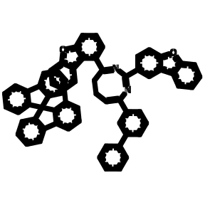 C1=C(c2cccc(-c3ccccc3)c2)/N=C(c2ccc3oc4ccccc4c3c2)\N=C(\c2cccc3oc4ccc(-c5cccc6c5C5(c7ccccc7-c7ccccc75)c5ccccc5-6)cc4c23)CC\1